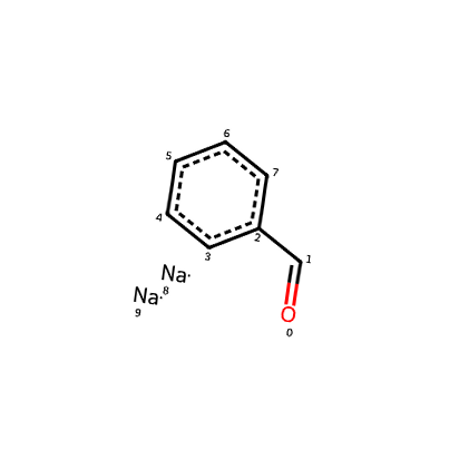 O=Cc1ccccc1.[Na].[Na]